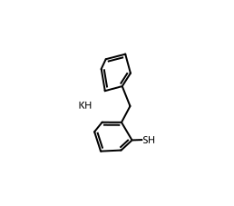 Sc1ccccc1Cc1ccccc1.[KH]